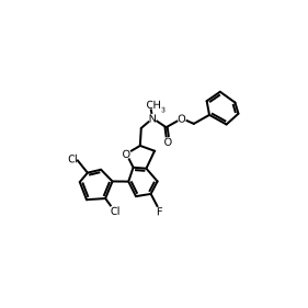 CN(CC1Cc2cc(F)cc(-c3cc(Cl)ccc3Cl)c2O1)C(=O)OCc1ccccc1